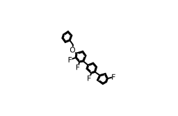 Fc1cccc(-c2ccc(-c3ccc(OCc4ccccc4)c(F)c3F)cc2F)c1